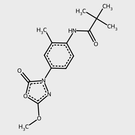 COc1nn(-c2ccc(NC(=O)C(C)(C)C)c(C)c2)c(=O)o1